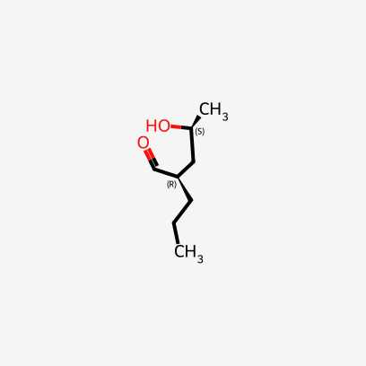 CCC[C@@H](C=O)C[C@H](C)O